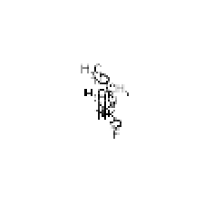 Cc1ccc(C(C)(C)N2CC[C@@](CCc3ccc(F)s3)(c3nnc[nH]3)C2)cn1